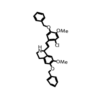 COc1cc(Cl)c(C=CC2NCCc3cc(OCc4ccccc4)c(OC)cc32)cc1OCc1ccccc1